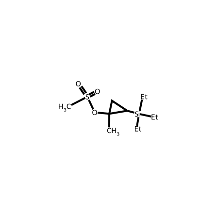 CC[Si](CC)(CC)C1CC1(C)OS(C)(=O)=O